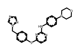 c1cc(Sc2ccc(Cn3cncn3)cc2)nc(Nc2ccc(N3CCOCC3)cc2)n1